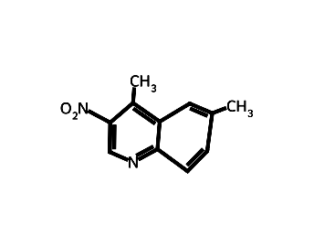 Cc1ccc2ncc([N+](=O)[O-])c(C)c2c1